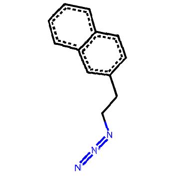 [N-]=[N+]=NCCc1ccc2ccccc2c1